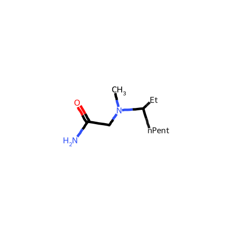 CCCCCC(CC)N(C)CC(N)=O